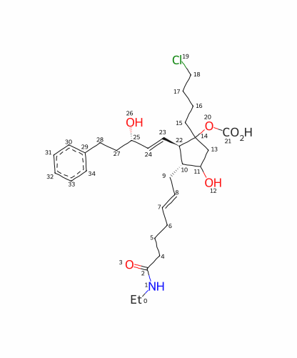 CCNC(=O)CCCC=CC[C@H]1C(O)CC(CCCCCl)(OC(=O)O)[C@@H]1C=C[C@@H](O)CCc1ccccc1